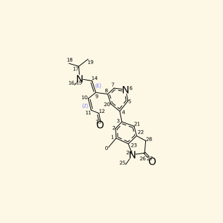 Cc1cc(-c2cncc(C(/C=C\C=O)=C/N(C)C(C)C)c2)cc2c1N(C)C(=O)C2